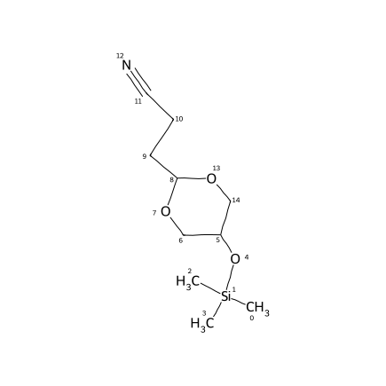 C[Si](C)(C)OC1COC(CCC#N)OC1